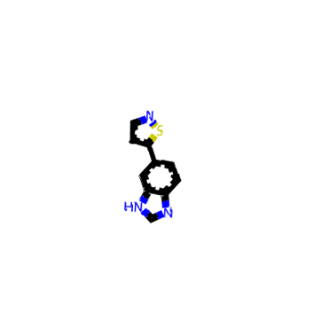 c1cc(-c2ccc3nc[nH]c3c2)sn1